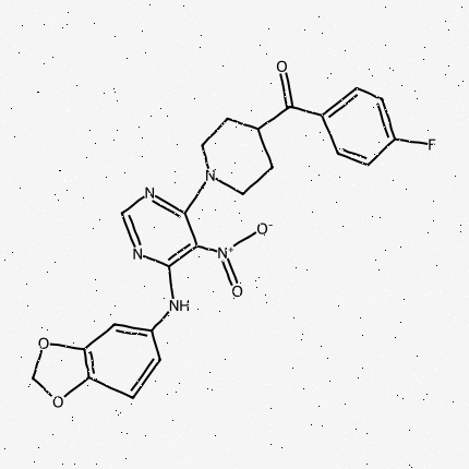 O=C(c1ccc(F)cc1)C1CCN(c2ncnc(Nc3ccc4c(c3)OCO4)c2[N+](=O)[O-])CC1